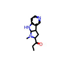 CCC(=O)C1CC2c3cnccc3NC2N1C